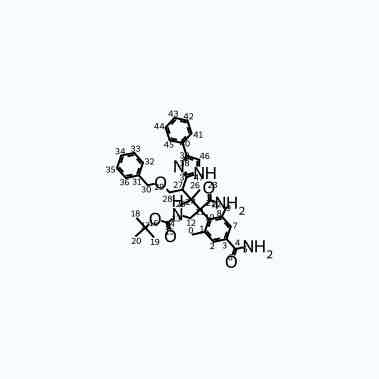 Cc1cc(C(N)=O)cc(C)c1C(CNC(=O)OC(C)(C)C)(C(N)=O)C(C)(C)C(COCc1ccccc1)c1nc(-c2ccccc2)c[nH]1